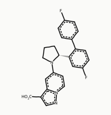 O=C(O)c1cnn2ccc(N3CCC[C@@H]3c3cc(F)ccc3-c3ccc(F)cc3)cc12